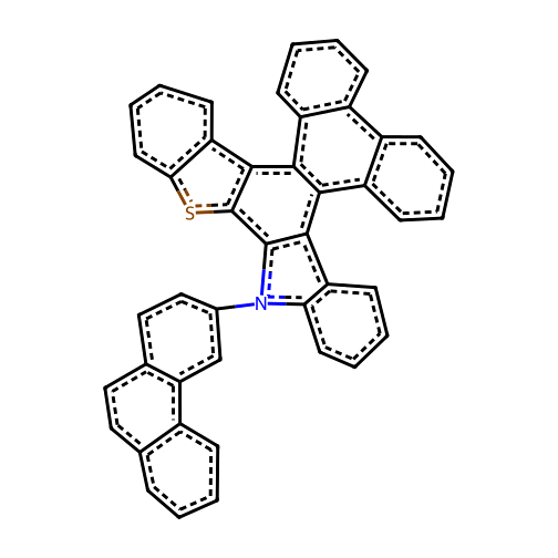 c1ccc2c(c1)ccc1ccc(-n3c4ccccc4c4c5c6ccccc6c6ccccc6c5c5c6ccccc6sc5c43)cc12